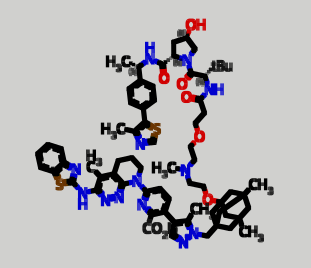 Cc1ncsc1-c1ccc([C@H](C)NC(=O)[C@@H]2C[C@@H](O)CN2C(=O)[C@@H](NC(=O)CCOCCN(C)CCOC23CC4(C)CC(C)(CC(Cn5ncc(-c6ccc(N7CCCc8c7nnc(Nc7nc9ccccc9s7)c8C)nc6C(=O)O)c5C)(C4)C2)C3)C(C)(C)C)cc1